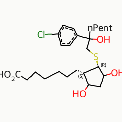 CCCCCC(O)(CS[C@H]1C(O)CC(O)[C@@H]1CCCCCCC(=O)O)c1ccc(Cl)cc1